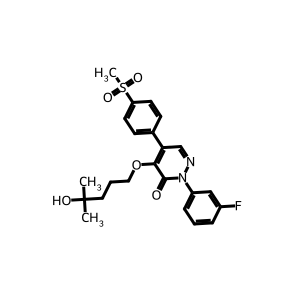 CC(C)(O)CCCOc1c(-c2ccc(S(C)(=O)=O)cc2)cnn(-c2cccc(F)c2)c1=O